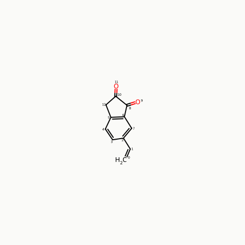 C=Cc1ccc2c(c1)C(=O)C(=O)C2